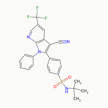 CC(C)(C)NS(=O)(=O)c1ccc(-c2c(C#N)c3cc(C(F)(F)F)cnc3n2-c2ccccc2)cc1